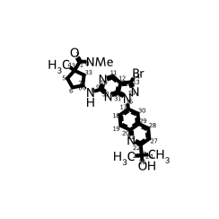 CNC(=O)C1(C)CC[C@@H](Nc2ncc3c(Br)nn(-c4ccc5nc(C(C)(C)O)ccc5c4)c3n2)C1